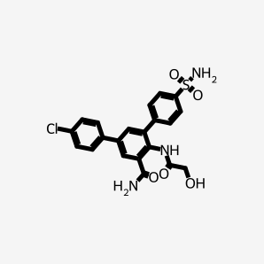 NC(=O)c1cc(-c2ccc(Cl)cc2)cc(-c2ccc(S(N)(=O)=O)cc2)c1NC(=O)CO